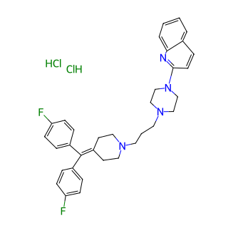 Cl.Cl.Fc1ccc(C(=C2CCN(CCCN3CCN(c4ccc5ccccc5n4)CC3)CC2)c2ccc(F)cc2)cc1